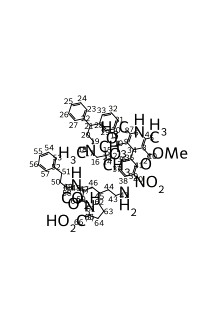 COC(=O)C1=C(C)NC(C)=C(C(=O)OC(C)(C)CN(C)CCC(c2ccccc2)c2ccccc2)C1c1cccc([N+](=O)[O-])c1.NCCCC[C@H](N[C@@H](CCc1ccccc1)C(=O)O)C(=O)N1CCC[C@H]1C(=O)O